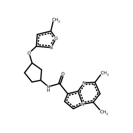 Cc1cc(C)n2ccc(C(=O)NC3CCC(Oc4cc(C)on4)C3)c2n1